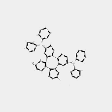 Cc1ccc2c(c1)-c1cc(N(c3ccccc3)c3ccccc3)ccc1-c1ccc(N(c3ccccc3)c3ccccc3)cc1-c1cc(C)ccc1-2